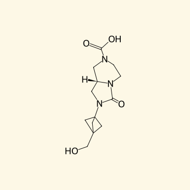 O=C(O)N1CCN2C(=O)N(C34CC(CO)(C3)C4)C[C@@H]2C1